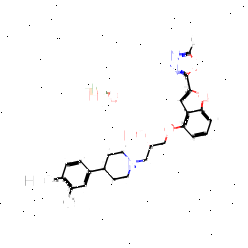 Cc1nnc(-c2cc3c(OC[C@@H](O)CN4CCC(c5ccc(C)c(C)c5)CC4)cccc3o2)o1.Cl.O